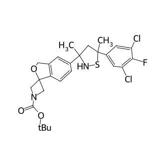 CC(C)(C)OC(=O)N1CC2(C1)OCc1cc(C3(C)CC(C)(c4cc(Cl)c(F)c(Cl)c4)SN3)ccc12